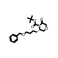 CC(C)(C)OC(=O)N1C(=O)COC[C@@H]1CCCCOCc1ccccc1